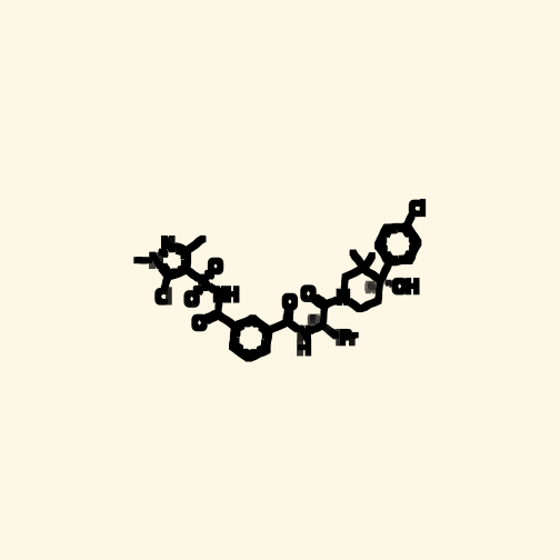 Cc1nn(C)c(Cl)c1S(=O)(=O)NC(=O)c1cccc(C(=O)N[C@@H](C(=O)N2CC[C@](O)(c3ccc(Cl)cc3)C(C)(C)C2)C(C)C)c1